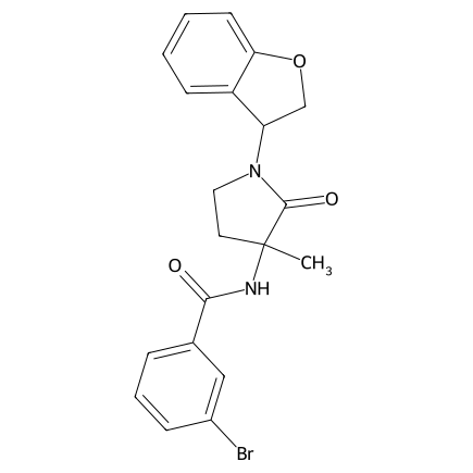 CC1(NC(=O)c2cccc(Br)c2)CCN(C2COc3ccccc32)C1=O